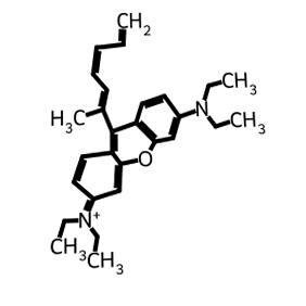 C=C/C=C\C=C(/C)c1c2ccc(=[N+](CC)CC)cc-2oc2cc(N(CC)CC)ccc12